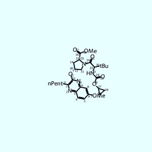 CCCCCc1nc2ccc(OC)cc2nc1O[C@@H]1C[C@@H](C(=O)OC)N(C(=O)C(NC(=O)OC2CC2)C(C)(C)C)C1